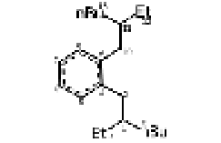 CCCCC(CC)Cc1[c]cccc1CC(CC)CCCC